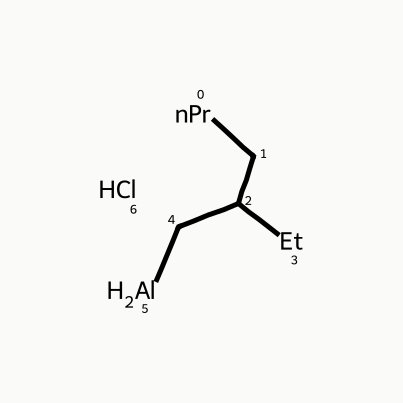 CCCCC(CC)[CH2][AlH2].Cl